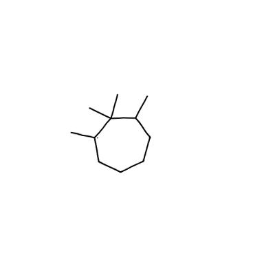 C[C]1CCCCC(C)C1(C)C